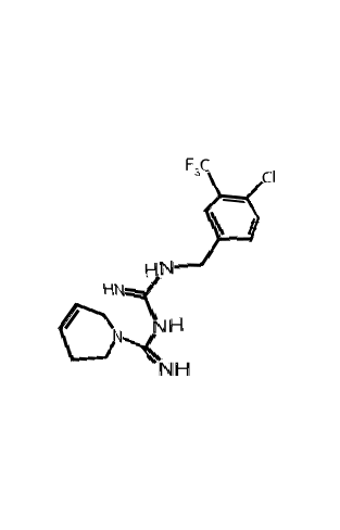 N=C(NCc1ccc(Cl)c(C(F)(F)F)c1)NC(=N)N1CC=CCC1